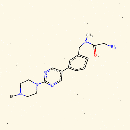 CCN1CCN(c2ncc(-c3cccc(CN(C)C(=O)CN)c3)cn2)CC1